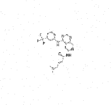 CN(C)C/C=C/C(=O)Nc1cc2c(Nc3cccc(C(F)(F)F)c3)ncnc2cn1